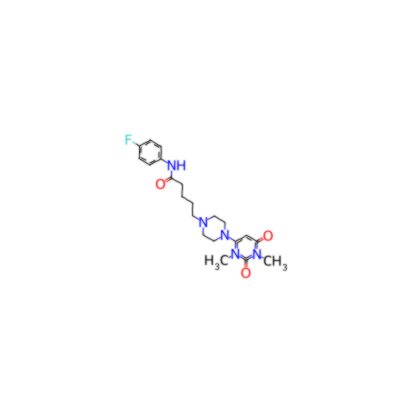 Cn1c(N2CCN(CCCCC(=O)Nc3ccc(F)cc3)CC2)cc(=O)n(C)c1=O